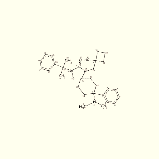 CN(C)C1(c2ccccc2)CCC2(CC1)CN(C(C)(C)c1ccccc1)C(=O)N2CC1(O)CCC1